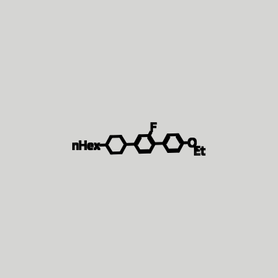 CCCCCCC1CCC(c2ccc(-c3ccc(OCC)cc3)c(F)c2)CC1